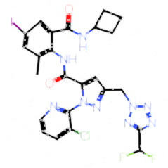 Cc1cc(I)cc(C(=O)NC2CCC2)c1NC(=O)c1cc(Cn2nnc(C(F)F)n2)nn1-c1ncccc1Cl